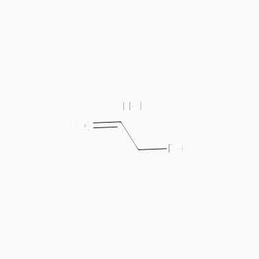 C=CCP.Cl